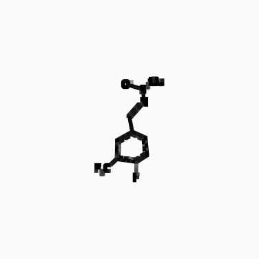 CC(C)(C)[S@@+]([O-])/N=C/c1ccc(F)c(C(F)(F)F)c1